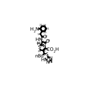 CCCCC(Sc1nnn[nH]1)C1=C(C(=O)O)N2C(=O)C(NC(=O)Cc3ccccc3N)[C@@H]2SC1